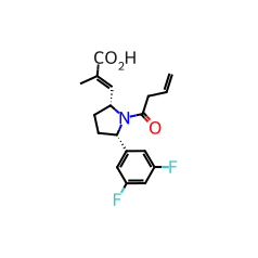 C=CCC(=O)N1[C@@H](/C=C(\C)C(=O)O)CC[C@H]1c1cc(F)cc(F)c1